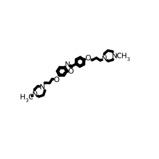 CN1CCCN(CCCOc2ccc(-c3nc4ccc(OCCCN5CCCN(C)CC5)cc4o3)cc2)CC1